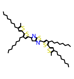 CCCCCCCCc1cc(-c2sc(C3=Nc4sc(-c5cc(CCCCCCCC)c(-c6cc(CCCCCCCC)c(C)s6)s5)nc4C3)cc2CCCCCCCC)sc1C